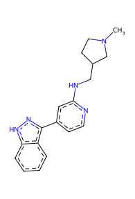 CN1CCC(CNc2cc(-c3n[nH]c4ccccc34)ccn2)C1